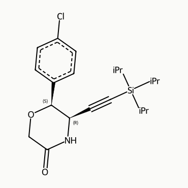 CC(C)[Si](C#C[C@H]1NC(=O)CO[C@H]1c1ccc(Cl)cc1)(C(C)C)C(C)C